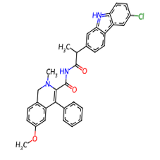 COc1ccc2c(c1)C(c1ccccc1)=C(C(=O)NC(=O)C(C)c1ccc3c(c1)[nH]c1ccc(Cl)cc13)N(C)C2